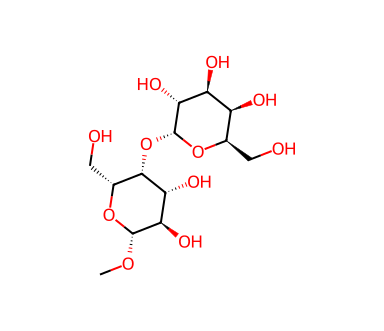 CO[C@@H]1O[C@H](CO)[C@H](O[C@H]2O[C@H](CO)[C@H](O)[C@H](O)[C@H]2O)[C@H](O)[C@H]1O